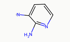 [N]c1cccnc1N